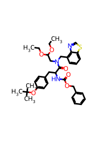 CCOC(CN(Cc1cccc2scnc12)C(=O)C(Cc1ccc(OC(C)(C)C)cc1)NC(=O)OCc1ccccc1)OCC